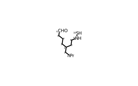 CC(C)CC(CCCC=O)CCNS